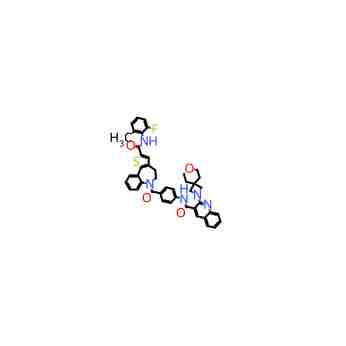 Cc1cccc(F)c1NC(=O)c1cc2c(s1)-c1ccccc1N(C(=O)c1ccc(NC(=O)c3cc4ccccc4nc3N3CC4(CCOCC4)C3)cc1)CC2